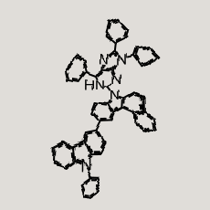 c1ccc(C2=c3nc(-c4ccccc4)n(-c4ccccc4)c3=NC(n3c4ccc(-c5ccc6c(c5)c5ccccc5n6-c5ccccc5)cc4c4c5ccccc5ccc43)N2)cc1